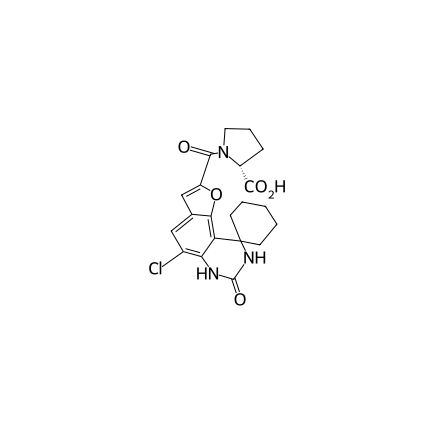 O=C1Nc2c(Cl)cc3cc(C(=O)N4CCC[C@@H]4C(=O)O)oc3c2C2(CCCCC2)N1